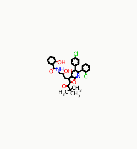 CC(C)(C)C(=O)c1oc2nc(-c3ccccc3Cl)c(-c3ccc(Cl)cc3)cc2c1CC(O)CNC(=O)c1ccccc1O